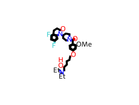 CCN(CC)CC(O)CCCCOc1ccc(C(=O)N2CCC(N3C(=O)CCc4c(F)cc(F)cc43)CC2)c(OC)c1